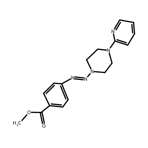 COC(=O)c1ccc(N=NN2CCN(c3ccccn3)CC2)cc1